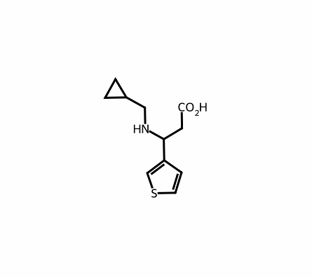 O=C(O)CC(NCC1CC1)c1ccsc1